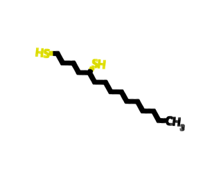 CCCCCCCCCCC(S)CCCCS